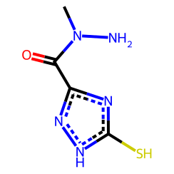 CN(N)C(=O)c1n[nH]c(S)n1